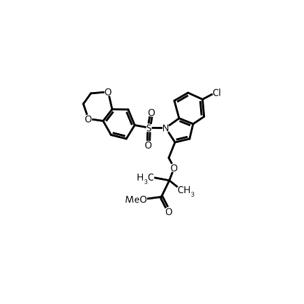 COC(=O)C(C)(C)OCc1cc2cc(Cl)ccc2n1S(=O)(=O)c1ccc2c(c1)OCCO2